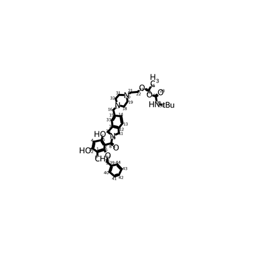 Cc1c(O)cc(O)c(C(=O)N2Cc3ccc(CN4CCN(CCOC(C)OC(=O)NC(C)(C)C)CC4)cc3C2)c1OCc1ccccc1